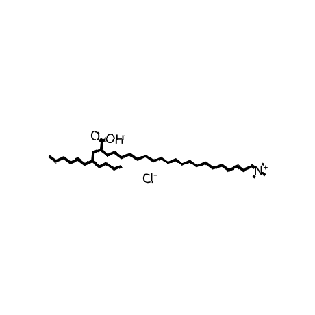 CCCCCCC(CCCC)CC(CCCCCCCCCCCCCCCCCCCC[N+](C)(C)C)C(=O)O.[Cl-]